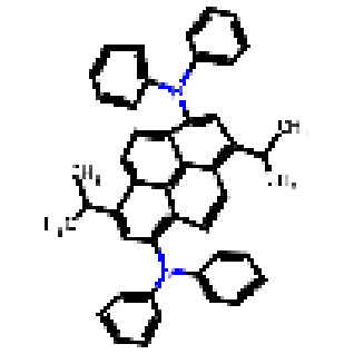 CC(C)c1cc(N(c2ccccc2)c2ccccc2)c2ccc3c(C(C)C)cc(N(c4ccccc4)c4ccccc4)c4ccc1c2c34